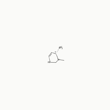 CN1CNC=C[C@@H]1N